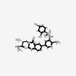 CNC(=O)[C@H](C)Cn1cnc2ccc(-c3cnc(N)c(NS(=O)(=O)c4ccc(F)cc4Cl)c3)cc2c1=O